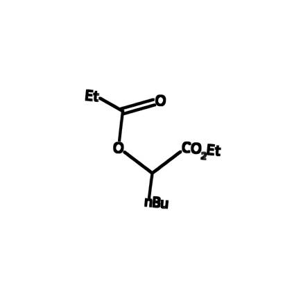 CCCCC(OC(=O)CC)C(=O)OCC